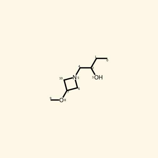 CCC(O)CN1CC(OC)C1